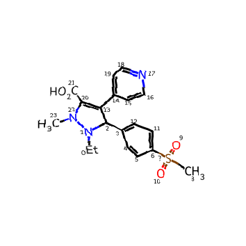 CCN1C(c2ccc(S(C)(=O)=O)cc2)C(c2ccncc2)=C(C(=O)O)N1C